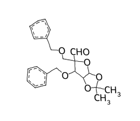 CC1(C)OC2OC(C=O)(COCc3ccccc3)C(OCc3ccccc3)C2O1